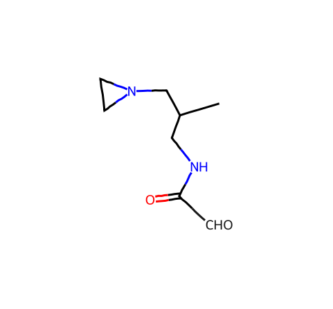 CC(CNC(=O)C=O)CN1CC1